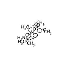 CCN(CCN(C)Cc1nc(N[C@H](C(N)=O)C(C)C)c2ccccc2n1)S(=O)(=O)c1cccc(OC)c1